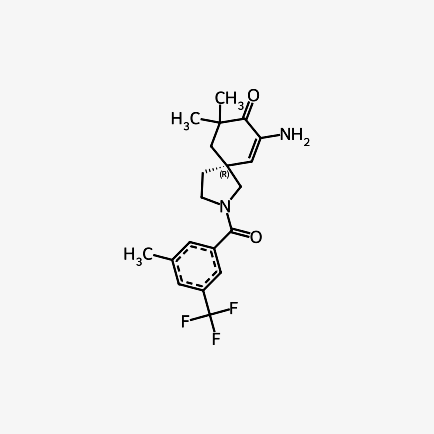 Cc1cc(C(=O)N2CC[C@]3(C=C(N)C(=O)C(C)(C)C3)C2)cc(C(F)(F)F)c1